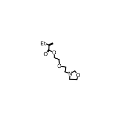 C=C(CC)C(=O)OCCOCCN1CCOC1